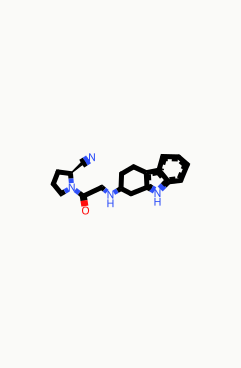 N#C[C@@H]1CCCN1C(=O)CNC1CCc2c([nH]c3ccccc23)C1